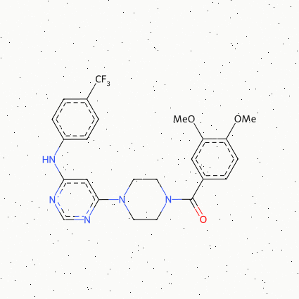 COc1ccc(C(=O)N2CCN(c3cc(Nc4ccc(C(F)(F)F)cc4)ncn3)CC2)cc1OC